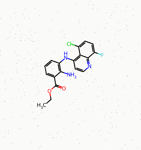 CCOC(=O)c1cccc(Nc2ccnc3c(F)ccc(Cl)c23)c1N